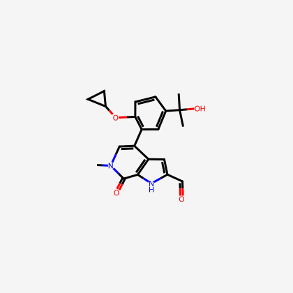 Cn1cc(-c2cc(C(C)(C)O)ccc2OC2CC2)c2cc(C=O)[nH]c2c1=O